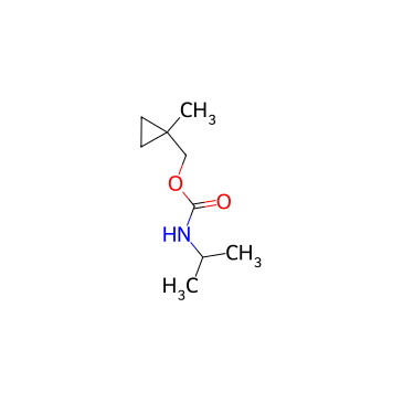 CC(C)NC(=O)OCC1(C)CC1